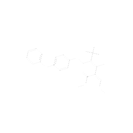 COC=C(C(=O)OC)C(C)=C(COc1ccc(Oc2ccccc2)cc1)C(F)(F)F